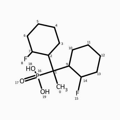 CC(C1CCCCC1F)(C1CCCCC1F)P(=O)(O)O